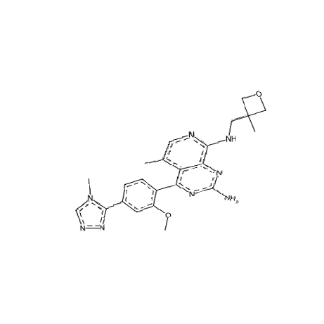 COc1cc(-c2nncn2C)ccc1-c1nc(N)nc2c(NCC3(C)COC3)ncc(C)c12